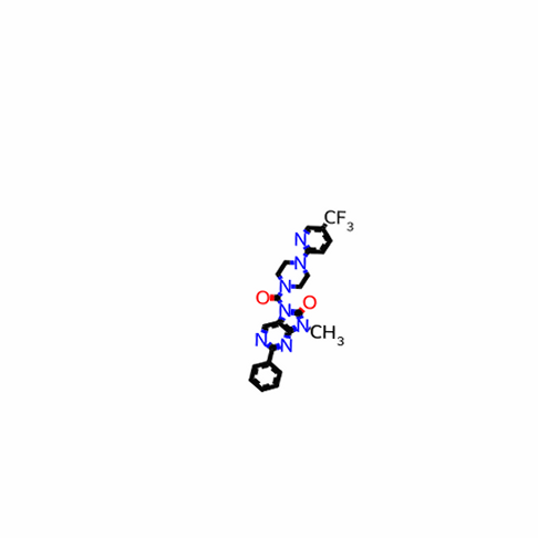 Cn1c(=O)n(C(=O)N2CCN(c3ccc(C(F)(F)F)cn3)CC2)c2cnc(-c3ccccc3)nc21